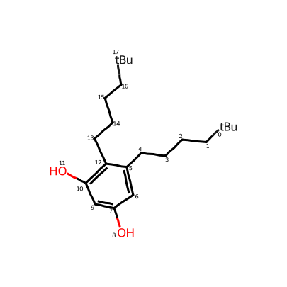 CC(C)(C)CCCCc1cc(O)cc(O)c1CCCCC(C)(C)C